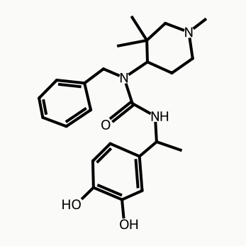 CC(NC(=O)N(Cc1ccccc1)C1CCN(C)CC1(C)C)c1ccc(O)c(O)c1